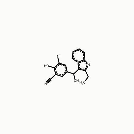 CCc1nc2ccccn2c1C(O)c1cc(Br)c(O)c(C#N)c1